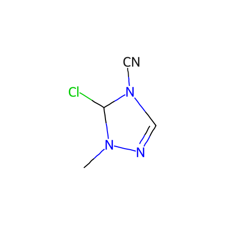 CN1N=CN(C#N)C1Cl